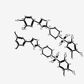 Cc1cc(C)cc(-c2csc(N3CCN(S(=O)(=O)c4cc(C)c(Cl)cc4Cl)CC3)n2)c1.Cc1cc(S(=O)(=O)N2CCN(c3nc(-c4ccc(F)c(Cl)c4)cs3)CC2)c(Cl)cc1Cl